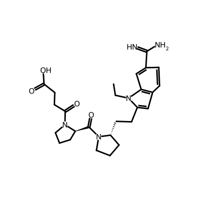 CCn1c(CC[C@@H]2CCCN2C(=O)[C@H]2CCCN2C(=O)CCC(=O)O)cc2ccc(C(=N)N)cc21